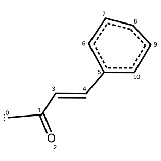 [C]C(=O)C=Cc1ccccc1